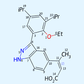 CCOc1c(-c2n[nH]c3ccc(/C(C)=C\C(=O)O)cc23)cc(C(C)C)cc1C(C)C